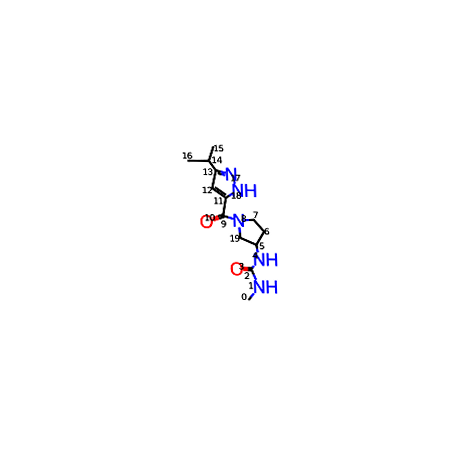 CNC(=O)NC1CCN(C(=O)c2cc(C(C)C)n[nH]2)C1